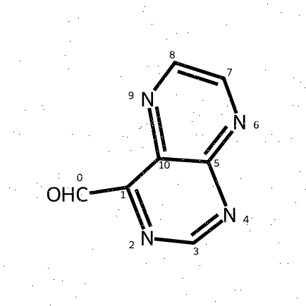 O=Cc1ncnc2nccnc12